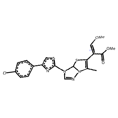 CO/C=C(\C(=O)OC)C1=C(C)N2N=CN(c3nc(-c4ccc(Cl)cc4)cs3)C2S1